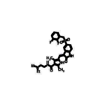 CCN(CC)CCNC(=O)c1c(C)[nH]c(/C=C2\C(=O)Nc3ccc(S(=O)(=O)Cc4cccc(F)c4F)cc32)c1C